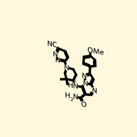 COc1ccc(-c2cc3ncc(C(N)=O)c(N[C@@H]4CCN(c5ccc(C#N)nn5)CC4(C)C)n3n2)cc1